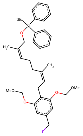 COCOc1cc(CI)cc(OCOC)c1CC=C(C)CCC=C(C)CO[Si](c1ccccc1)(c1ccccc1)C(C)(C)C